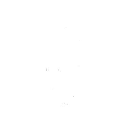 CNS(=O)(=O)c1cnc2c(-c3ncco3)ccnn12